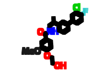 COc1cc(C(=O)NCC(C)c2cccc(-c3ccc(F)c(Cl)c3)c2)ccc1OCCO